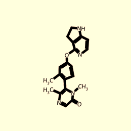 Cc1cc(Oc2nccc3c2CCN3)ccc1-c1c(C)ncc(=O)n1C